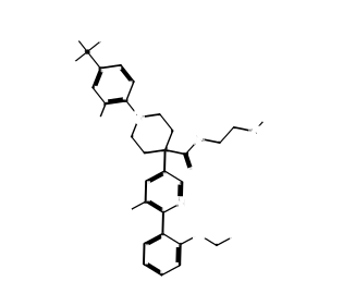 CCOc1ccccc1-c1ncc(C2(C(=O)NCCNC)CCN(c3ccc(C(F)(F)F)cc3F)CC2)cc1F